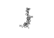 CC(C)(C)OC(=O)Nc1ccn([C@@H]2O[C@H](COC(=O)Cn3cnc([N+](=O)[O-])c3)C(O)C2(F)F)c(=O)n1